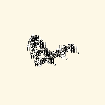 C[n+]1cn([C@@H]2O[C@H](CO)[C@@H](O)[C@H]2O)c2nc(N)[nH]c(=O)c21.C[n+]1cn([C@@H]2O[C@H](CO)[C@@H](O)[C@H]2O)c2nc(N)[nH]c(=O)c21.C[n+]1cn([C@@H]2O[C@H](CO)[C@@H](O)[C@H]2O)c2nc(N)[nH]c(=O)c21.C[n+]1cn([C@@H]2O[C@H](CO)[C@@H](O)[C@H]2O)c2nc(N)[nH]c(=O)c21.C[n+]1cn([C@@H]2O[C@H](CO)[C@@H](O)[C@H]2O)c2nc(N)[nH]c(=O)c21.O=P([O-])([O-])OP(=O)([O-])OP(=O)([O-])[O-]